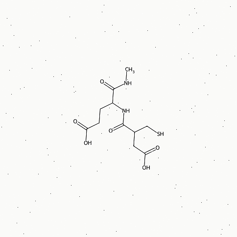 CNC(=O)C(CCC(=O)O)NC(=O)C(CS)CC(=O)O